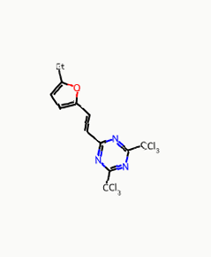 CCc1ccc(C=Cc2nc(C(Cl)(Cl)Cl)nc(C(Cl)(Cl)Cl)n2)o1